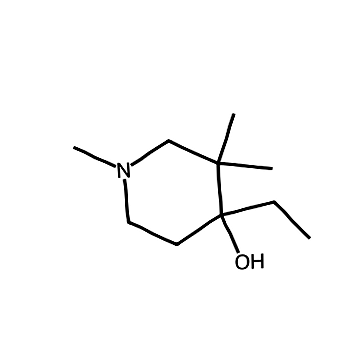 CCC1(O)CCN(C)CC1(C)C